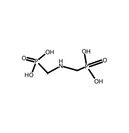 O=P(O)(O)[CH]N[CH]P(=O)(O)O